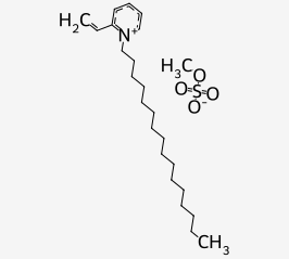 C=Cc1cccc[n+]1CCCCCCCCCCCCCCCC.COS(=O)(=O)[O-]